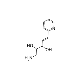 NCC(O)C(O)C=Cc1ccccn1